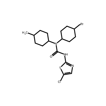 CC1CCC(N(C(=O)Nc2ncc(Cl)s2)C2CCC(C(C)C)CC2)CC1